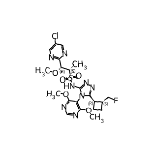 COc1ncnc(OC)c1-n1c(NS(=O)(=O)[C@@H](C)[C@H](OC)c2ncc(Cl)cn2)nnc1[C@@H]1CC[C@@H]1CF